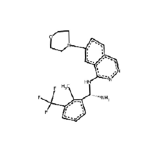 Cc1c([C@@H](N)Nc2nncc3ccc(N4CCOCC4)cc23)cccc1C(F)(F)F